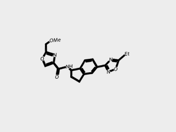 CCc1nc(-c2ccc3c(c2)CCC3NC(=O)c2coc(COC)n2)no1